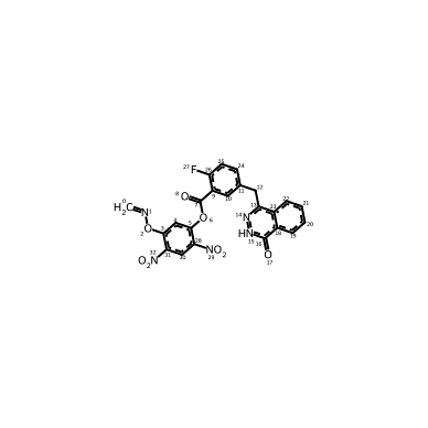 C=NOc1cc(OC(=O)c2cc(Cc3n[nH]c(=O)c4ccccc34)ccc2F)c([N+](=O)[O-])cc1[N+](=O)[O-]